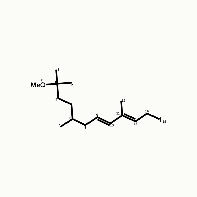 COC(C)(C)CCC(C)C/C=C/C(C)=C/CI